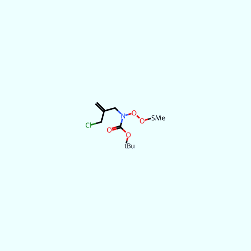 C=C(CCl)CN(OOSC)C(=O)OC(C)(C)C